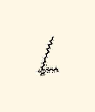 CCCCCCCCCCCCCCCC1N(C)C=CN1CCCCCC